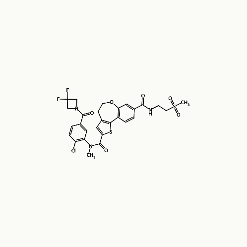 CN(C(=O)c1cc2c(s1)-c1ccc(C(=O)NCCS(C)(=O)=O)cc1OCC2)c1cc(C(=O)N2CC(F)(F)C2)ccc1Cl